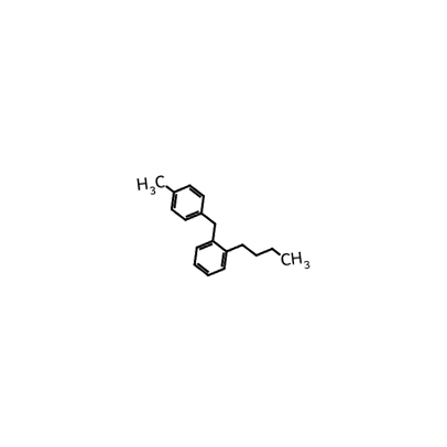 CCCCc1ccccc1Cc1ccc(C)cc1